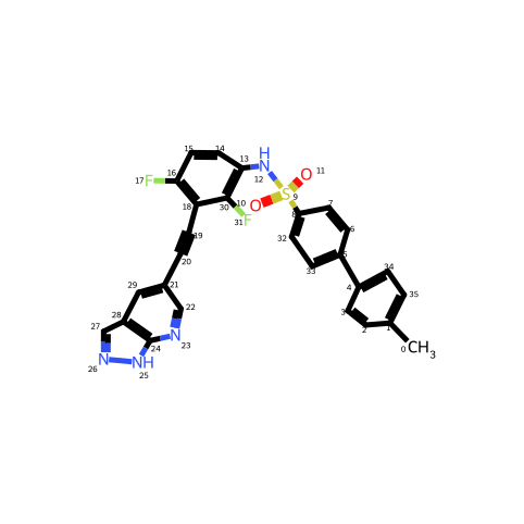 Cc1ccc(-c2ccc(S(=O)(=O)Nc3ccc(F)c(C#Cc4cnc5[nH]ncc5c4)c3F)cc2)cc1